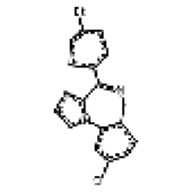 CCc1ccc(C2=NCc3ccc(Cl)cc3-n3cccc32)cc1